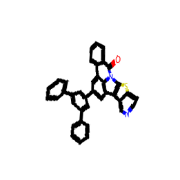 O=c1c2ccccc2c2cc(-c3cc(-c4ccccc4)cc(-c4ccccc4)c3)cc3c4c5cnccc5sc4n1c23